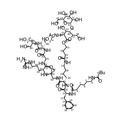 CCC(C)C(=O)NCCCCCC(=O)N[C@@H](Cc1ccccc1)C(=O)N[C@@H](CCCCNC(=O)CCCO[C@@H]1OC(CO)[C@@H](O[C@@H]2O[C@@H](CO)[C@H](O)C(O)C2O)[C@H](O)C1NC(C)=O)C(=O)NCC(=O)N[C@@H](CCCNC(=N)N)C(=O)NCC(=O)N[C@@H](CC(=O)O)C(=O)N[C@@H](CO)C(=O)O